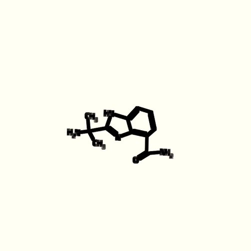 CC(C)(N)c1nc2c(C(N)=O)cccc2[nH]1